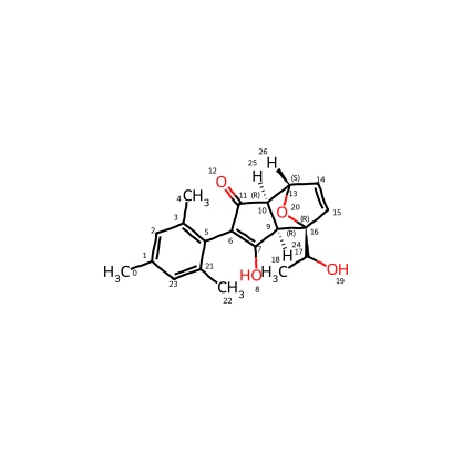 Cc1cc(C)c(C2=C(O)[C@H]3[C@@H](C2=O)[C@@H]2C=C[C@@]3(C(C)O)O2)c(C)c1